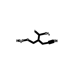 C#CCC(COC(=O)O)C(C)I